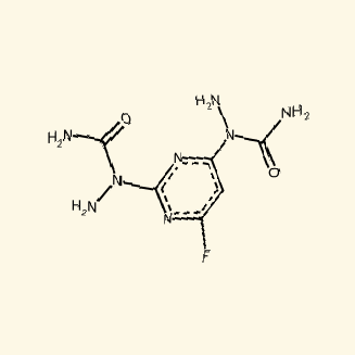 NC(=O)N(N)c1cc(F)nc(N(N)C(N)=O)n1